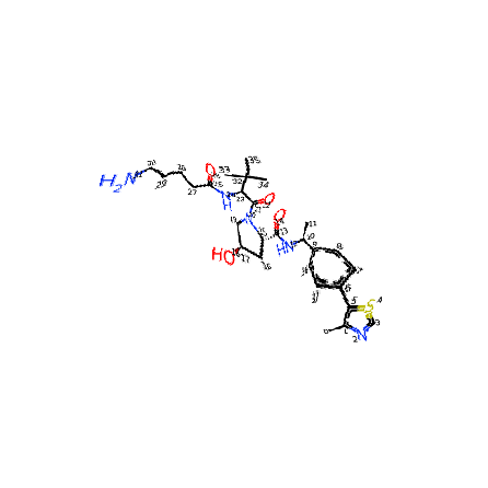 Cc1ncsc1-c1ccc([C@H](C)NC(=O)[C@@H]2C[C@@H](O)CN2C(=O)[C@@H](NC(=O)CCCCN)C(C)(C)C)cc1